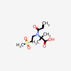 C=CC(=O)N(CCS(C)(=O)=O)C(C)(C)C(=O)O